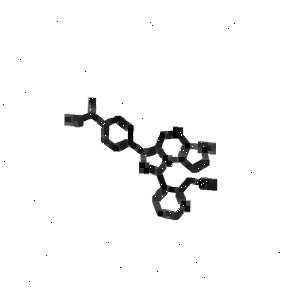 C=C(O)c1ccc(-c2nc(-c3cccnc3CO)n3c2cnc2[nH]ccc23)cc1